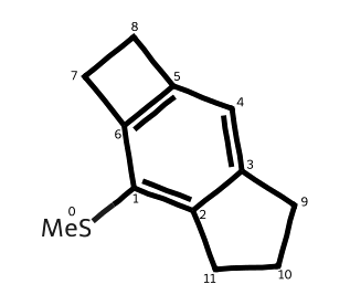 CSc1c2c(cc3c1CC3)CCC2